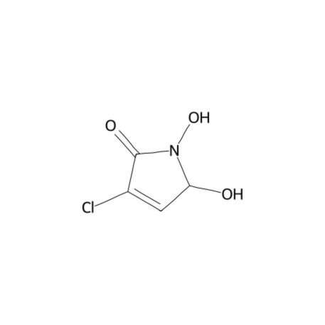 O=C1C(Cl)=CC(O)N1O